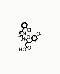 COc1ccc(CC(CC(=O)O)C(=O)N(C)c2nc(-c3ccccc3Cl)cs2)cc1